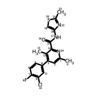 Cc1cc(-c2ccc(F)c(Cl)c2)c(C)c(C(=O)Nc2csc(C)n2)n1